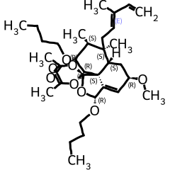 C=C/C(C)=C/C[C@]1(C)[C@H](C)[C@@H](OCCCC)[C@H](OC(C)=O)[C@@]23C(=C[C@H](OC)C[C@@H]12)[C@H](OCCCC)O[C@H]3OC(C)=O